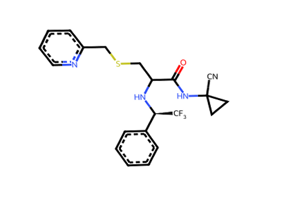 N#CC1(NC(=O)C(CSCc2ccccn2)N[C@H](c2ccccc2)C(F)(F)F)CC1